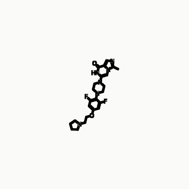 Cc1ncc2c(=O)[nH]c(N3CCN(c4c(F)cc(OCCN5CCCC5)cc4F)CC3)cn12